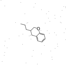 CCCC1[CH]c2ccccc2OC1